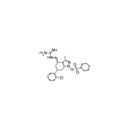 Cc1nn(OS(=O)(=O)c2ccccc2)c2c1C(=NNC(=N)N)CC(c1ccccc1Cl)C2